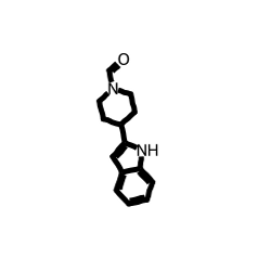 O=CN1CCC(c2cc3ccccc3[nH]2)CC1